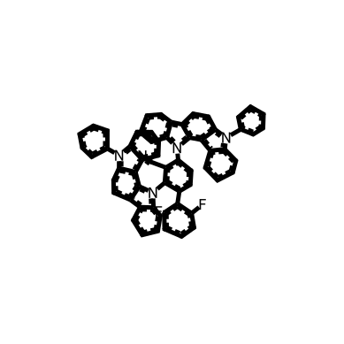 N#Cc1c(-n2c3ccccc3c3ccc4c(c5ccccc5n4-c4ccccc4)c32)ccc(-c2c(F)cccc2F)c1-n1c2ccccc2c2ccc3c(c4ccccc4n3-c3ccccc3)c21